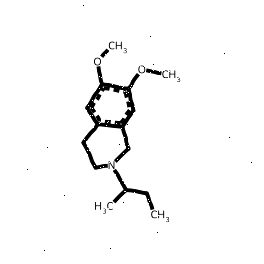 CCC(C)N1CCc2cc(OC)c(OC)cc2C1